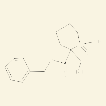 NCC1(C(=O)OCc2ccccc2)CCCCP1(=O)O